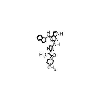 CC(C(=O)N1CCN(C)CC1)n1ncc(Nc2nc(N[C@@H]3CCc4ccccc43)c3cc[nH]c3n2)n1